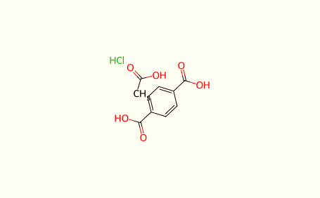 CC(=O)O.Cl.O=C(O)c1ccc(C(=O)O)cc1